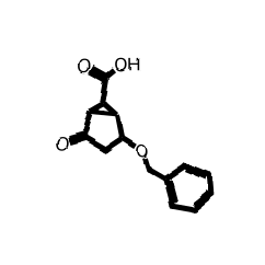 O=C(O)C1C2C(=O)CC(OCc3ccccc3)C12